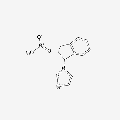 O=[N+]([O-])O.c1ccc2c(c1)CCC2n1ccnc1